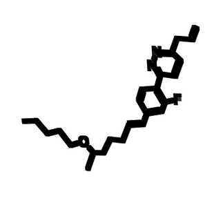 C=CCc1ccc(-c2ccc(C=CCCCC(C)OCCCCC)cc2F)nn1